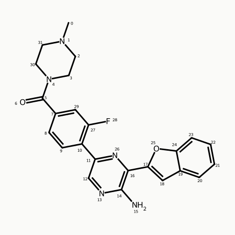 CN1CCN(C(=O)c2ccc(-c3cnc(N)c(-c4cc5ccccc5o4)n3)c(F)c2)CC1